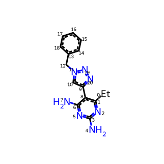 CCc1nc(N)nc(N)c1-c1cn(Cc2ccccc2)nn1